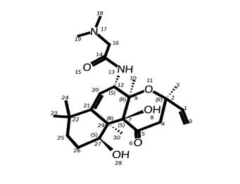 C=C[C@@]1(C)CC(=O)[C@@]2(O)[C@](C)(O1)[C@@H](NC(=O)CN(C)C)C=C1C(C)(C)CC[C@H](O)[C@@]12C